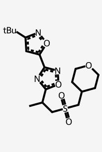 CC(CS(=O)(=O)CC1CCOCC1)c1nc(-c2cc(C(C)(C)C)no2)no1